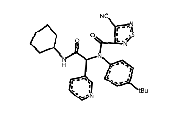 CC(C)(C)c1ccc(N(C(=O)c2nsnc2C#N)C(C(=O)NC2CCCCC2)c2cccnc2)cc1